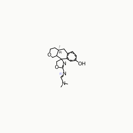 CN(C)/C=N/C1=NC2(CO1)c1cc(O)ccc1C[C@]1(C)CCOCC21